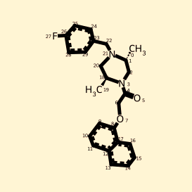 C[C@@H]1CN(C(=O)COc2cccc3ccccc23)[C@@H](C)CN1Cc1ccc(F)cc1